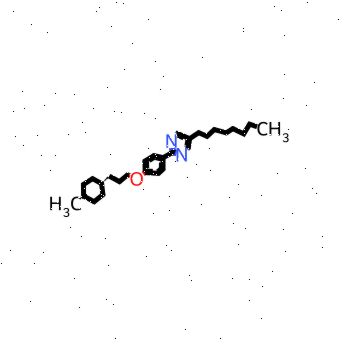 CCCCCCCCc1cnc(-c2ccc(OCCC[C@H]3CC[C@H](C)CC3)cc2)nc1